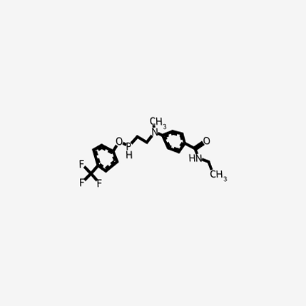 CCNC(=O)c1ccc(N(C)CCPOc2ccc(C(F)(F)F)cc2)cc1